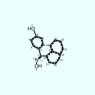 O/N=C(/c1ccc(O)cc1)c1cccc2ccccc12